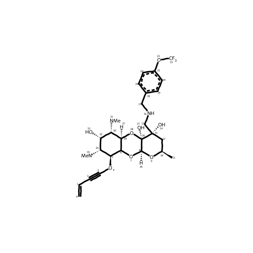 C=CC#CO[C@@H]1C2O[C@@H]3O[C@H](C)C[C@](O)(CNCc4ccc(OC(F)(F)F)cc4)[C@]3(O)O[C@@H]2[C@@H](NC)[C@@H](O)[C@H]1NC